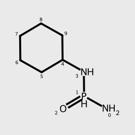 N[PH](=O)NC1CCCCC1